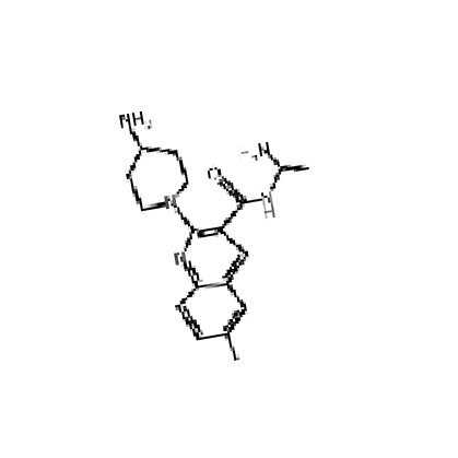 Cc1ccc2nc(N3CCC(N)CC3)c(C(=O)NC(C)N)cc2c1